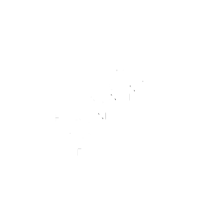 CC1(NC(=O)c2cccc(Nc3cc(F)cc(F)c3)n2)CCCC1